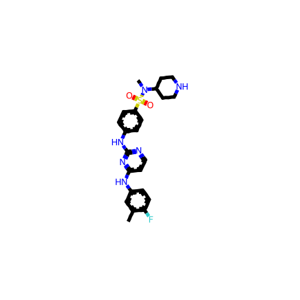 Cc1cc(Nc2ccnc(Nc3ccc(S(=O)(=O)N(C)C4CCNCC4)cc3)n2)ccc1F